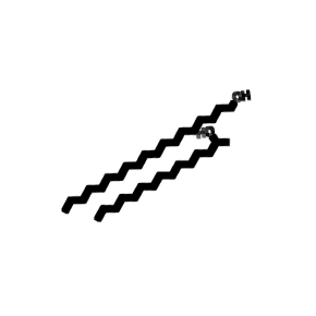 CCCCCCCCCCCCCC(C)O.CCCCCCCCCCCCCCCCCCCO